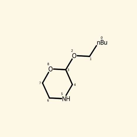 CCCCCOC1CNCCO1